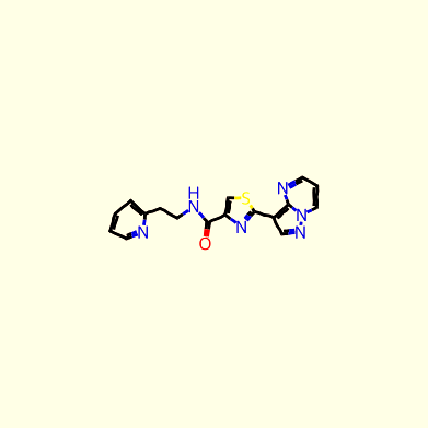 O=C(NCCc1ccccn1)c1csc(-c2cnn3cccnc23)n1